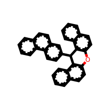 c1ccc2c3c(ccc2c1)Oc1ccc2ccccc2c1C3c1ccc2c(ccc3ccccc32)c1